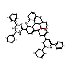 CC1CC=CC2=C1C(C1CC(C3=NC(c4ccccc4)NC(C4=CC=CCC4)N3)CC=C1C1CCC=C(C3C=C(c4ccccc4)NC(C4C=CCCC4)C3)C1)C1CCC=CC1C2